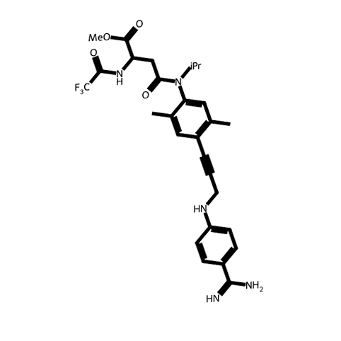 COC(=O)C(CC(=O)N(c1cc(C)c(C#CCNc2ccc(C(=N)N)cc2)cc1C)C(C)C)NC(=O)C(F)(F)F